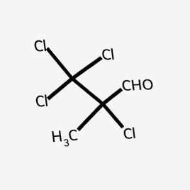 CC(Cl)(C=O)C(Cl)(Cl)Cl